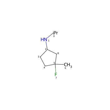 CC(C)NC1CCC(C)(F)C1